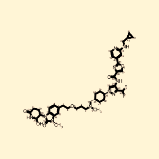 CN(CCCOCCc1ccc2c(c1)n(C)c(=O)n2C1CCC(=O)NC1O)C[C@H]1CC[C@H](n2cc(NC(=O)c3coc(-c4ccnc(NCC5CC5)c4)n3)c(C(F)F)n2)CC1